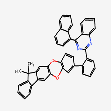 CC1(C)c2ccccc2-c2cc3c(cc21)Oc1ccc(-c2ccccc2-c2nc(-c4cccc5ccccc45)c4ccccc4n2)cc1O3